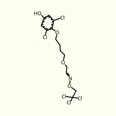 Oc1cc(Cl)c(OCCCCOCC=NOCC(Cl)(Cl)Cl)c(Cl)c1